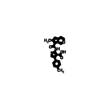 Cc1ccc(-c2csc(NC(=O)c3c(C)cc4ccocc3-4)c2C(=O)O)cc1